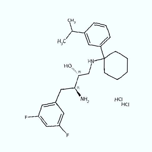 CC(C)c1cccc(C2(NC[C@@H](O)[C@@H](N)Cc3cc(F)cc(F)c3)CCCCC2)c1.Cl.Cl